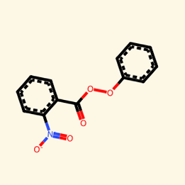 O=C(OOc1ccccc1)c1ccccc1[N+](=O)[O-]